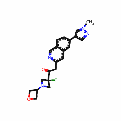 Cn1cc(-c2ccc3cnc(CC(=O)C4(F)CN(C5COC5)C4)cc3c2)cn1